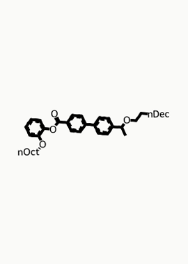 CCCCCCCCCCCCOC(C)c1ccc(-c2ccc(C(=O)Oc3ccccc3OCCCCCCCC)cc2)cc1